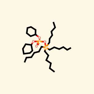 CCCCCCP(CCCCCC)(CCCCCC)(CCCCCC)OP(=O)(OC1CCCCC1)OC1CCCCC1